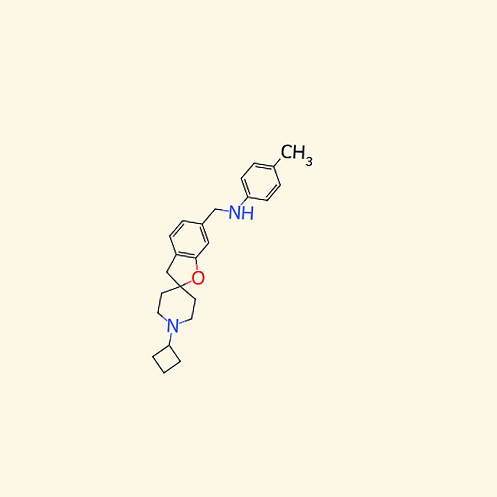 Cc1ccc(NCc2ccc3c(c2)OC2(CCN(C4CCC4)CC2)C3)cc1